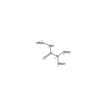 CCCCCCCCCNC(=O)N(CCCCCCCCC)CCCCCCCCC